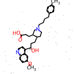 COc1ccc2nccc([C@@H](O)CCC3CCN(CCCCc4ccc(C)cc4)CC3CCC(=O)O)c2c1